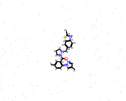 Cc1ccc(-n2cc(C)cn2)c(C(=O)N2CCCN2Cc2ccc3nc(C)sc3c2)c1